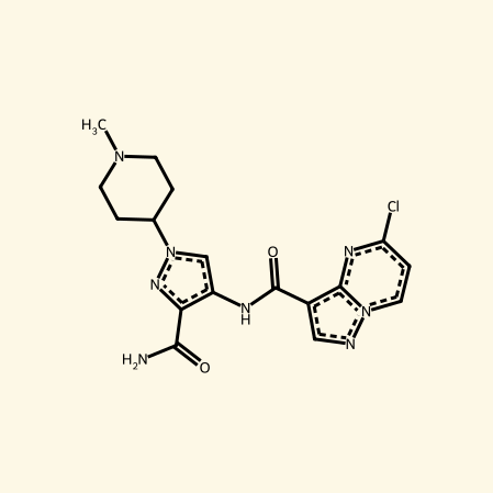 CN1CCC(n2cc(NC(=O)c3cnn4ccc(Cl)nc34)c(C(N)=O)n2)CC1